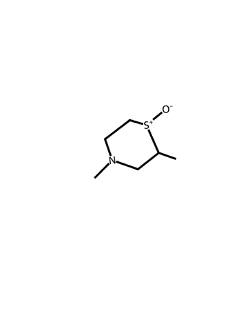 CC1CN(C)CC[S+]1[O-]